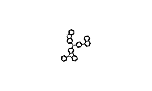 c1ccc(-n2c3ccccc3c3cc(N(c4ccc(-c5cccc6ccccc56)cc4)c4ccc5oc6ccccc6c5c4)ccc32)cc1